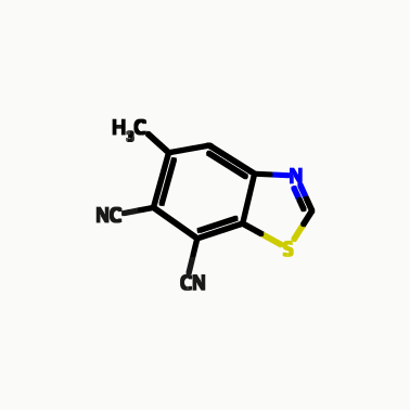 Cc1cc2ncsc2c(C#N)c1C#N